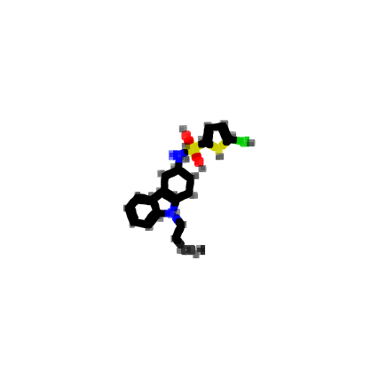 O=C(O)CCn1c2c(c3ccccc31)CC(NS(=O)(=O)c1ccc(Cl)s1)CC2